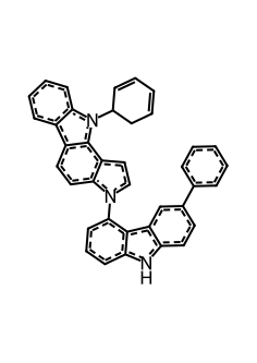 C1=CCC(n2c3ccccc3c3ccc4c(ccn4-c4cccc5[nH]c6ccc(-c7ccccc7)cc6c45)c32)C=C1